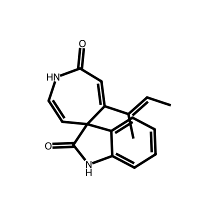 CC=C(C)C1=CC(=O)NC=CC12C(=O)Nc1ccccc12